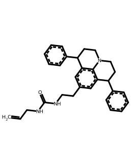 C=CCNC(=O)NCCc1cc2c3c(c1)C(c1ccccc1)CCN3CCC2c1ccccc1